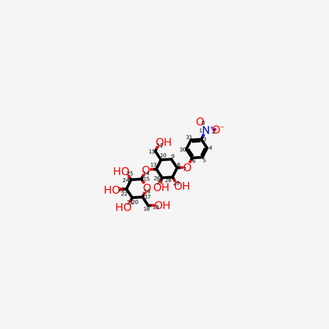 O=[N+]([O-])c1ccc(OC2CC(CO)C(OC3OC(CO)C(O)C(O)C3O)C(O)C2O)cc1